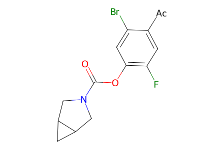 CC(=O)c1cc(F)c(OC(=O)N2CC3CC3C2)cc1Br